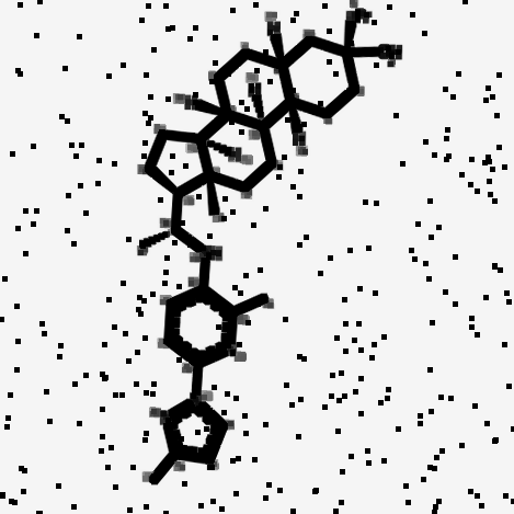 CCC[C@@]1(O)CC[C@H]2[C@H](CC[C@@H]3[C@@H]2CC[C@]2(C)[C@@H]([C@@H](C)Nc4ccc(-n5ccc(C)n5)nc4C)CC[C@@H]32)C1